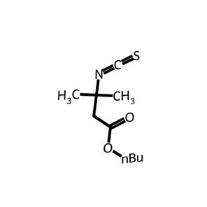 CCCCOC(=O)CC(C)(C)N=C=S